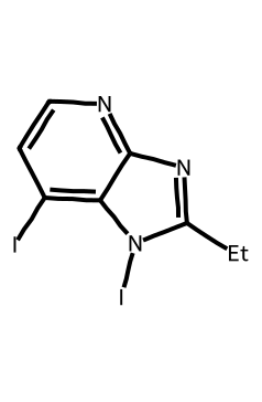 CCc1nc2nccc(I)c2n1I